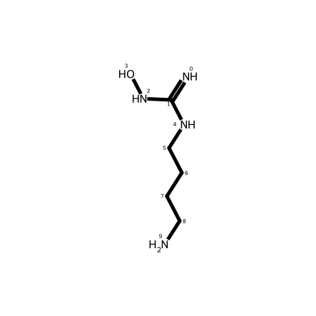 N=C(NO)NCCCCN